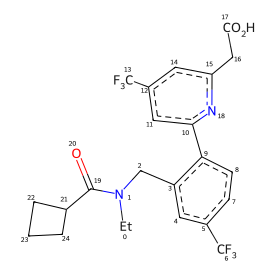 CCN(Cc1cc(C(F)(F)F)ccc1-c1cc(C(F)(F)F)cc(CC(=O)O)n1)C(=O)C1CCC1